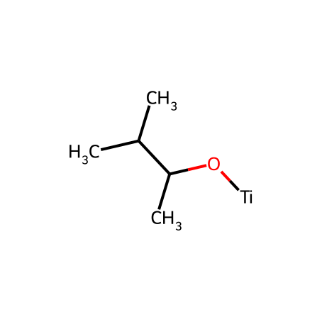 CC(C)C(C)[O][Ti]